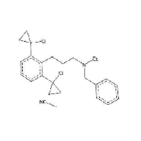 CC#N.CCN(CCCc1c(C2(Cl)CC2)cccc1C1(Cl)CC1)Cc1ccccc1